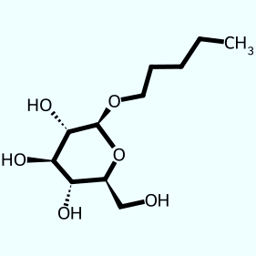 CCCCCO[C@H]1O[C@@H](CO)[C@H](O)[C@@H](O)[C@@H]1O